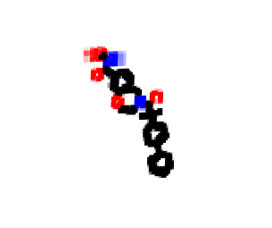 CC(C)(C(=O)N1CCOc2cc(C(=O)NO)ccc2C1)c1ccc(-c2ccccc2)cc1